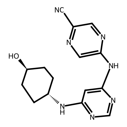 N#Cc1cnc(Nc2cc(N[C@H]3CC[C@H](O)CC3)ncn2)cn1